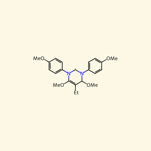 CCC1=C(OC)N(c2ccc(OC)cc2)[CH]N(c2ccc(OC)cc2)C1OC